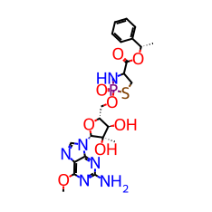 COc1nc(N)nc2c1ncn2[C@@H]1O[C@H](COP2(=O)NC(C(=O)O[C@@H](C)c3ccccc3)CS2)[C@@H](O)[C@@]1(C)O